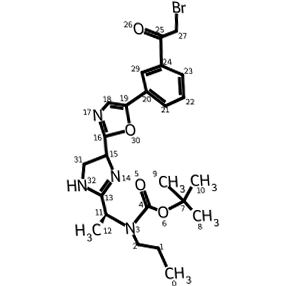 CCCN(C(=O)OC(C)(C)C)[C@@H](C)C1=NC(c2ncc(-c3cccc(C(=O)CBr)c3)o2)CN1